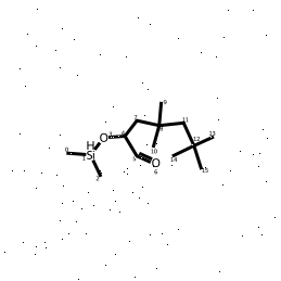 C[SiH](C)OC(C=O)CC(C)(C)CC(C)(C)C